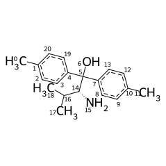 Cc1ccc(C(O)(c2ccc(C)cc2)[C@H](N)C(C)C)cc1